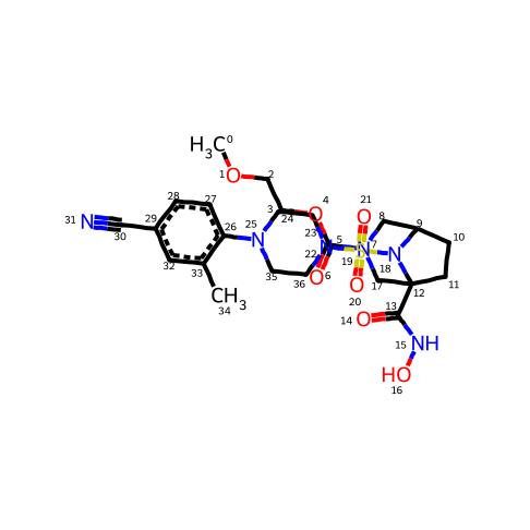 COCCOC(=O)N1CC2CCC(C(=O)NO)(C1)N2S(=O)(=O)N1CCN(c2ccc(C#N)cc2C)CC1